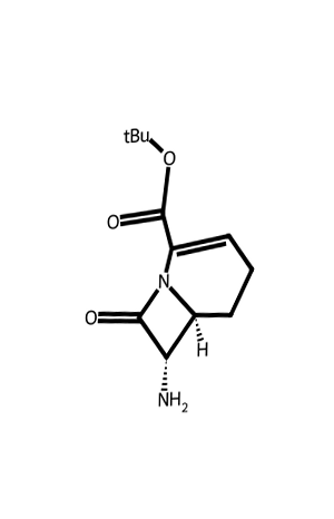 CC(C)(C)OC(=O)C1=CCC[C@H]2[C@H](N)C(=O)N12